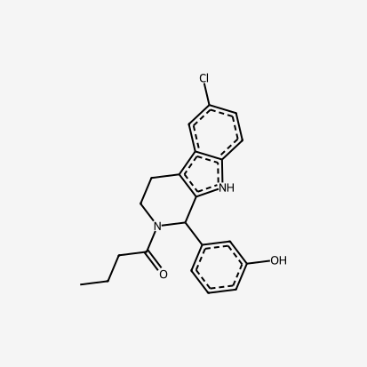 CCCC(=O)N1CCc2c([nH]c3ccc(Cl)cc23)C1c1cccc(O)c1